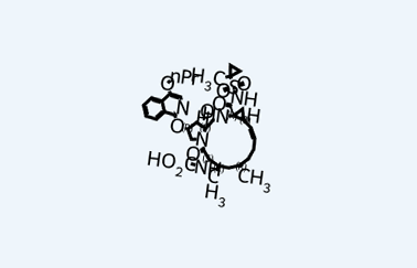 CCCOc1cnc(O[C@@H]2C[C@H]3C(=O)N[C@]4(C(=O)NS(=O)(=O)C5(C)CC5)C[C@H]4C=CCC[C@@H](C)C[C@@H](C)[C@H](NC(=O)O)C(=O)N3C2)c2ccccc12